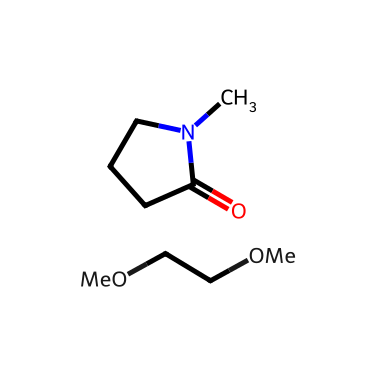 CN1CCCC1=O.COCCOC